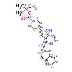 CC(C)(C)OC(=O)N1CC=C(c2cc3c(Nc4ccc5ncccc5c4)ncnc3[nH]2)CC1